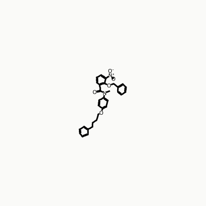 CN(C(=O)c1cccc([N+](=O)[O-])c1OCc1ccccc1)c1ccc(OCCCCc2ccccc2)cc1